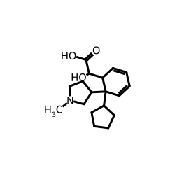 CN1CCC(C2(C3CCCC3)C=CC=CC2C(O)C(=O)O)C1